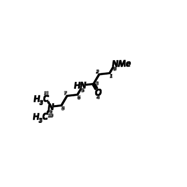 CNCCC(=O)NCCCN(C)C